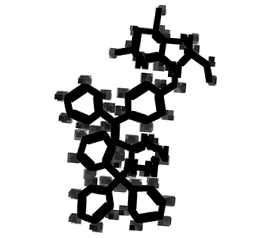 CCc1nc2c(C)cc(C)nc2n1Cc1ccc(/C(=C\c2nnnn2C(c2ccccc2)(c2ccccc2)c2ccccc2)c2ccccc2)cc1